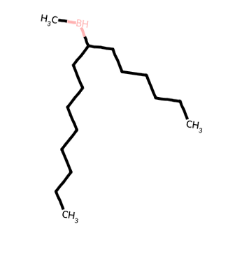 CBC(CCCCCC)CCCCCCCC